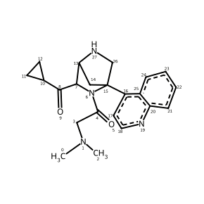 CN(C)CC(=O)N1C(C(=O)C2CC2)C2CC1(c1ccnc3ccccc13)CN2